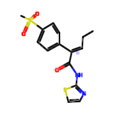 CC/C=C(/C(=O)Nc1nccs1)c1ccc(S(C)(=O)=O)cc1